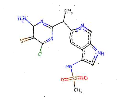 CC(C1=NC(N)C(=S)C(Cl)=N1)c1cc2c(NS(C)(=O)=O)c[nH]c2cn1